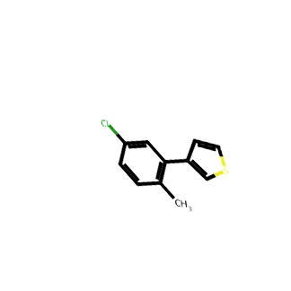 Cc1ccc(Cl)cc1-c1ccsc1